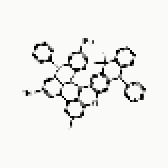 Cc1cc2c3c(c1)C1C=C(C(C)(C)C)C=C4C1N(B3c1cc3c(cc1O2)N(c1ccccc1)c1ccccc1C3(C)C)c1ccc(C(C)(C)C)cc1N4c1ccccc1